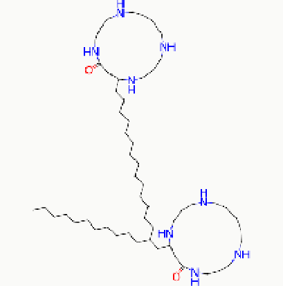 CCCCCCCCCCCC(CCCCCCCCCCCCCCC1CC(=O)NCCCNCCCCNCCCN1)CC1CC(=O)NCCCNCCCCCNCCCN1